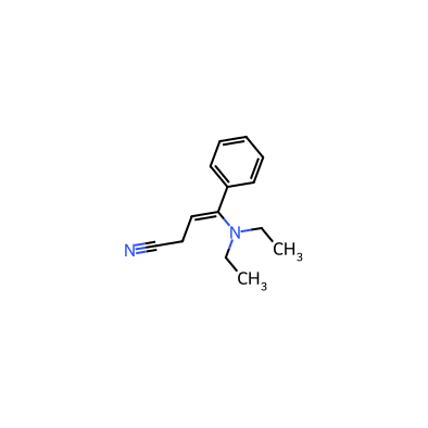 CCN(CC)C(=CCC#N)c1ccccc1